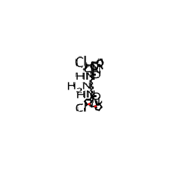 Cc1cccc2cc3c(Cl)ccc(C(=O)NCCCC(N)CCCNC(=O)c4ccc(Cl)c5cc6cccc(C)c6nc45)c3nc12